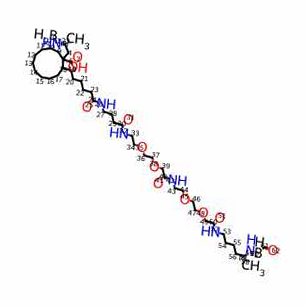 BN[C@H](C)CC1(C(=O)O)CCCCCCCCCC1CCCCCC(=O)NCCCC(=O)NCCOCCOCC(=O)NCCOCCOCC(=O)NCCCC[C@@H](C)NBC=O